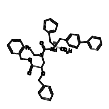 CC(C)CN(CC(OCc1ccccc1)C(=O)OCc1ccccc1)C(=O)N[C@@](Cc1ccccc1)(Cc1ccc(-c2ccccc2)cc1)C(=O)O